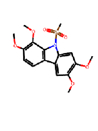 COc1cc2c3ccc(OC)c(OC)c3n(S(C)(=O)=O)c2cc1OC